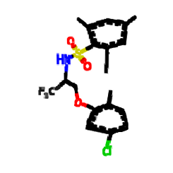 Cc1cc(C)c(S(=O)(=O)NC(COc2cc(Cl)ccc2C)C(F)(F)F)c(C)c1